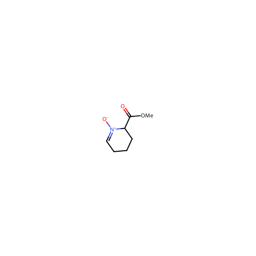 COC(=O)C1CCCC=[N+]1[O-]